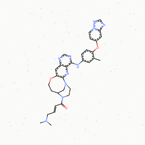 Cc1cc(Nc2ncnc3cc4c(nc23)N2CCN(C(=O)/C=C/CN(C)C)C(CCO4)C2)ccc1Oc1ccn2ncnc2c1